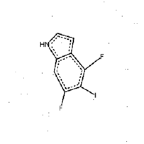 Fc1cc2[nH]ccc2c(F)c1I